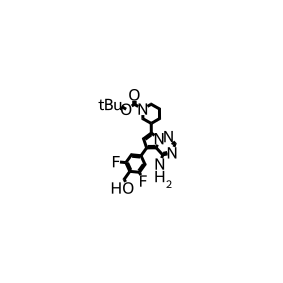 CC(C)(C)OC(=O)N1CCCC(c2cc(-c3cc(F)c(CO)c(F)c3)c3c(N)ncnn23)C1